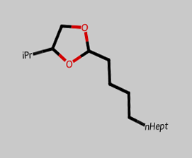 CCCCCCCCCCCC1OCC(C(C)C)O1